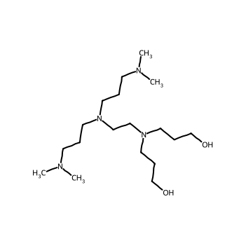 CN(C)CCCN(CCCN(C)C)CCN(CCCO)CCCO